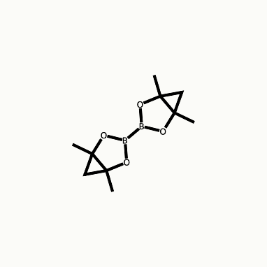 CC12CC1(C)OB(B1OC3(C)CC3(C)O1)O2